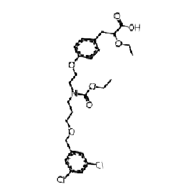 CCOC(=O)N(CCCOCc1cc(Cl)cc(Cl)c1)CCOc1ccc(CC(OCC)C(=O)O)cc1